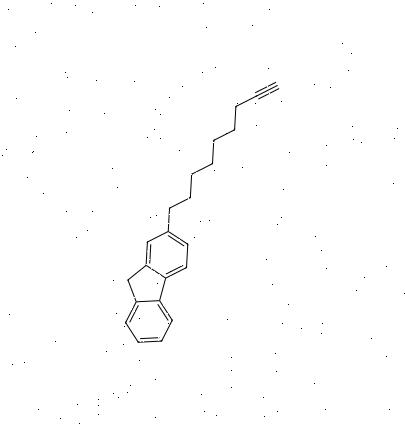 C#CCCCCCCCc1ccc2c(c1)Cc1ccccc1-2